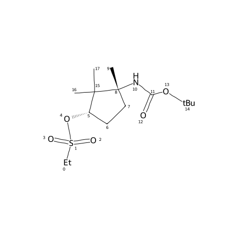 CCS(=O)(=O)O[C@H]1CC[C@@](C)(NC(=O)OC(C)(C)C)C1(C)C